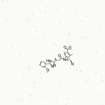 COC(=O)c1sc(NC(=O)CSc2nnc(-c3ccccc3OC)[nH]2)c(C#N)c1C